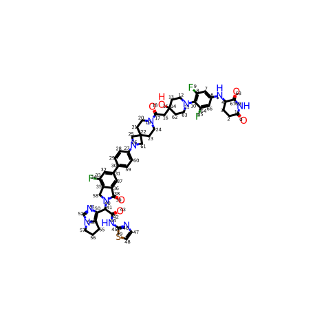 O=C1CCC(Nc2cc(F)c(N3CCC(O)(CC(=O)N4CCC5(CC4)CN(c4ccc(-c6cc(F)c7c(c6)C(=O)N(C(C(=O)Nc6nccs6)c6ncn8c6CCC8)C7)cc4)C5)CC3)c(F)c2)C(=O)N1